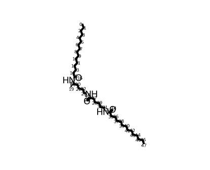 CCCCCCCCCCCCCCCC(=O)N[C@H](C)CCCCNC(=O)CCCCCNC(=O)CCCCCCCCCCCCC